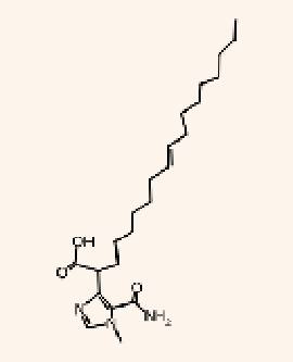 CCCCCCCCC=CCCCCCCC(C(=O)O)c1ncn(C)c1C(N)=O